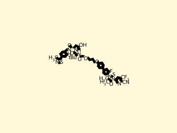 Cc1ncsc1-c1ccc(CNC(=O)[C@@H]2C[C@@H](O)CN2C(=O)C(NC(=O)COCCCCOc2ccc(-c3ccc(N4C(=S)N(c5cnc(C#N)c(C(F)(F)F)c5)C(=O)C4(C)C)c(F)c3)cc2)C(C)(C)C)cc1